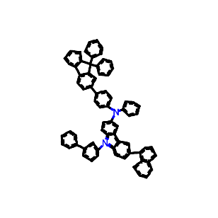 c1ccc(-c2cccc(-n3c4ccc(-c5cccc6ccccc56)cc4c4cc(N(c5ccccc5)c5ccc(-c6ccc7c(c6)C(c6ccccc6)(c6ccccc6)c6ccccc6-7)cc5)ccc43)c2)cc1